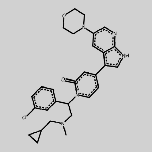 CN(CC1CC1)CC(c1cccc(Cl)c1)n1ccc(-c2c[nH]c3ncc(N4CCOCC4)cc23)cc1=O